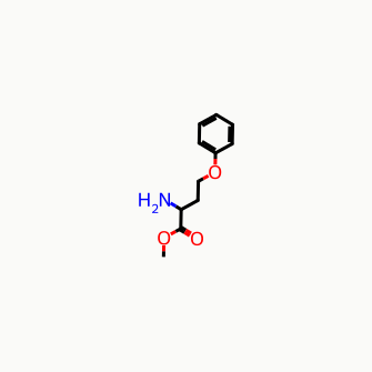 COC(=O)C(N)CCOc1ccccc1